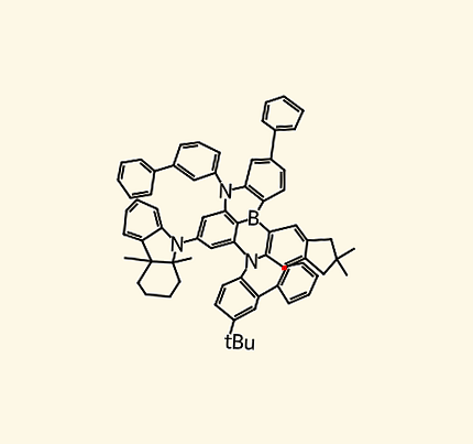 CC1(C)Cc2cc3c(cc2C1)N(c1ccc(C(C)(C)C)cc1-c1ccccc1)c1cc(N2c4ccccc4C4(C)CCCCC24C)cc2c1B3c1ccc(-c3ccccc3)cc1N2c1cccc(-c2ccccc2)c1